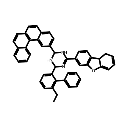 CCc1cccc(C2N=C(c3ccc4c(c3)OC3=CC=CCC34)NC(c3ccc4ccc5ccc6ccccc6c5c4c3)N2)c1-c1ccccc1